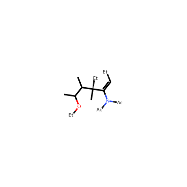 CC/C=C(/N(C(C)=O)C(C)=O)[C@@](C)(CC)C(C)C(C)OCC